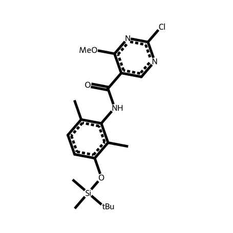 COc1nc(Cl)ncc1C(=O)Nc1c(C)ccc(O[Si](C)(C)C(C)(C)C)c1C